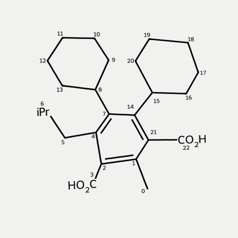 Cc1c(C(=O)O)c(CC(C)C)c(C2CCCCC2)c(C2CCCCC2)c1C(=O)O